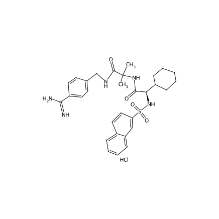 CC(C)(NC(=O)[C@H](NS(=O)(=O)c1ccc2ccccc2c1)C1CCCCC1)C(=O)NCc1ccc(C(=N)N)cc1.Cl